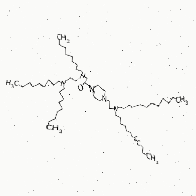 CCCCCCCCCCCCN(CCCCCCCCCCCC)CCN1CCN(C(=O)CN(CCCCCCCCC)CCN(CCCCCCCCC)CCCCCCCCC)CC1